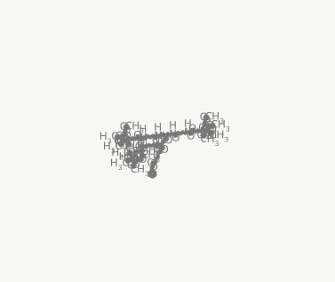 CC(=O)NC1C(CCCC(=O)C(=O)NCCCCC(=O)NCCN(CCNC(=O)CCCCNC(=O)C(=O)CCCC2OC(COC(C)=O)C(OC(C)=O)C(OC(C)=O)C2NC(C)=O)C(=O)CC[C@H](NC(=O)CCCCNC(=O)C(=O)CCCC2OC(COC(C)=O)C(OC(C)=O)C(OC(C)=O)C2NC(C)=O)C(=O)NCCCCCC(=O)OCc2ccccc2)OC(COC(C)=O)C(OC(C)=O)C1OC(C)=O